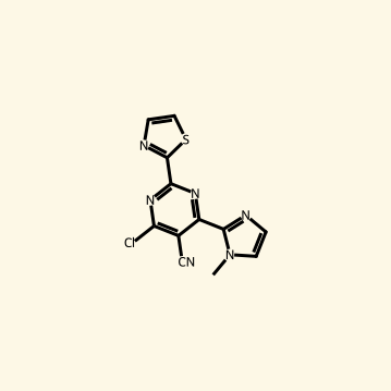 Cn1ccnc1-c1nc(-c2nccs2)nc(Cl)c1C#N